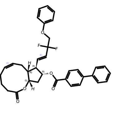 O=C1CCC/C=C\C[C@@H]2[C@@H](/C=C/C(F)(F)COc3ccccc3)[C@H](OC(=O)c3ccc(-c4ccccc4)cc3)C[C@@H]2O1